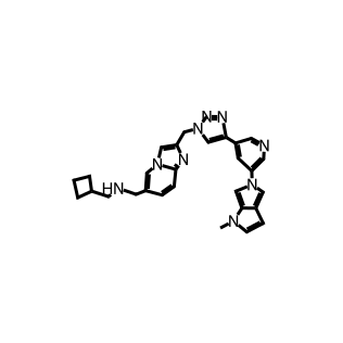 Cn1ccc2cn(-c3cncc(-c4cn(Cc5cn6cc(CNCC7CCC7)ccc6n5)nn4)c3)cc21